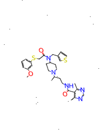 COc1cccc(SCC(=O)N(Cc2ccsc2)C2CCN(C(C)CCNC(=O)c3c(C)ncnc3C)CC2)c1